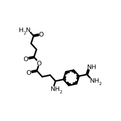 N=C(N)c1ccc(C(N)CCC(=O)OC(=O)CCC(N)=O)cc1